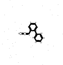 O=C=[C]c1ccccc1-c1ccccc1